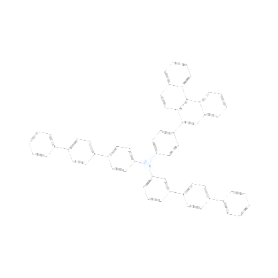 c1ccc(-c2ccc(-c3ccc(N(c4ccc(-c5cc6ccccc6c6c5ccc5ccccc56)cc4)c4cccc(-c5ccc(-c6ccccc6)cc5)c4)cc3)cc2)cc1